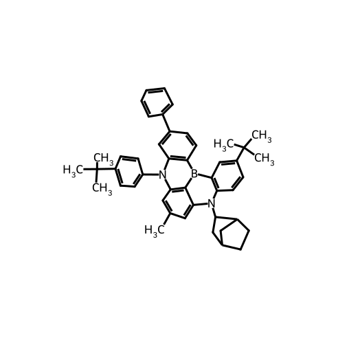 Cc1cc2c3c(c1)N(C1CC4CCC1C4)c1ccc(C(C)(C)C)cc1B3c1ccc(-c3ccccc3)cc1N2c1ccc(C(C)(C)C)cc1